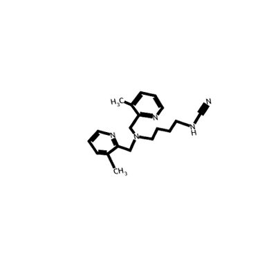 Cc1cccnc1CN(CCCCNC#N)Cc1ncccc1C